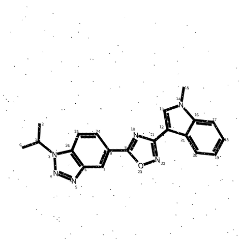 CC(C)n1nnc2cc(-c3nc(-c4cn(C)c5ccccc45)no3)ccc21